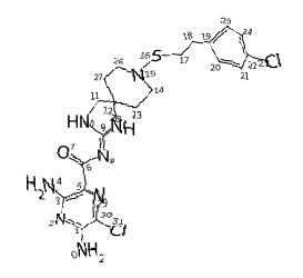 Nc1nc(N)c(C(=O)/N=C2\NCC3(CCN(SCCc4ccc(Cl)cc4)CC3)N2)nc1Cl